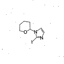 Ic1nccn1C1CCCCO1